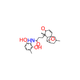 Cc1ccc(O)c(NC(=O)CC[C@]2(C)C(=O)C=CC34CC5CC(C)(C3)OC5C42)c1O